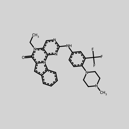 CCn1c(=O)c2cc3ccccc3n2c2nc(Nc3ccc(N4CCN(C)CC4)c(C(F)(F)F)c3)ncc21